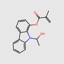 C=C(C)C(=O)Oc1cccc2c3ccccc3n(C(C)O)c12